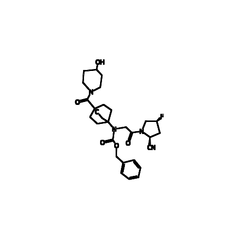 N#C[C@@H]1C[C@H](F)CN1C(=O)CN(C(=O)OCc1ccccc1)C12CCC(C(=O)N3CCC(O)CC3)(CC1)CC2